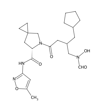 Cc1cc(NC(=O)[C@@H]2CC3(CC3)CN2C(=O)CC(CC2CCCC2)CN(O)C=O)no1